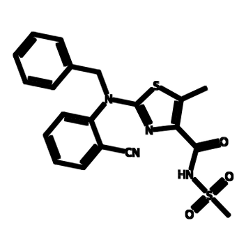 Cc1sc(N(Cc2ccccc2)c2ccccc2C#N)nc1C(=O)NS(C)(=O)=O